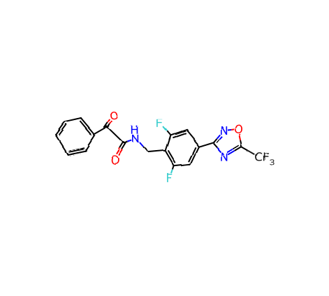 O=C(NCc1c(F)cc(-c2noc(C(F)(F)F)n2)cc1F)C(=O)c1ccccc1